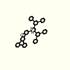 c1ccc(-c2cc(-c3ccccc3)cc(-c3cc(-c4cc(-c5ccccc5)cc(-c5ccccc5)c4)nc(-c4ccc5oc6cc7c8ccccc8c8ccccc8c7cc6c5c4)n3)c2)cc1